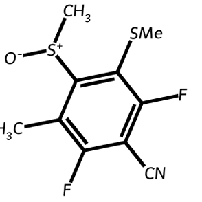 CSc1c(F)c(C#N)c(F)c(C)c1[S+](C)[O-]